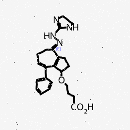 O=C(O)CCCOC1CCC2=C1C(c1ccccc1)=CCC/C2=N\NC1=NCCN1